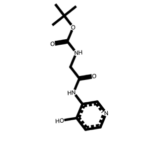 CC(C)(C)OC(=O)NCC(=O)Nc1cnccc1O